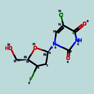 O=c1[nH]c(=O)n([C@@H]2CC(F)[C@H](CO)O2)cc1Cl